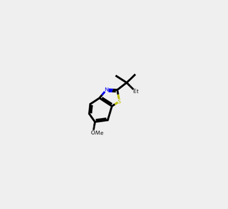 CCC(C)(C)c1nc2ccc(OC)cc2s1